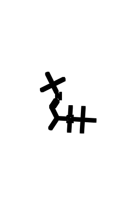 CC(/C=N/C(C)(C)C)[Si](C)(C)C(C)(C)C